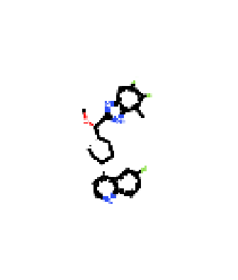 CO[C@@H](c1nc2cc(F)c(F)c(C)c2[nH]1)[C@H]1CC[C@@H](c2ccnc3ccc(F)cc32)CC1